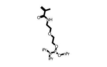 C=C(C)C(=O)NCCOCCOP(OCCC)N(C(C)C)C(C)C